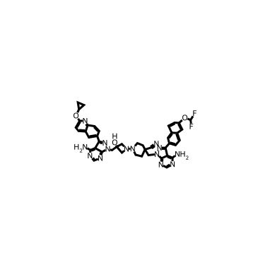 N#CC1(Cn2nc(-c3ccc4cc(OC(F)F)ccc4c3)c3c(N)ncnc32)CCN(N2CC(O)(Cn3nc(-c4ccc5nc(OC6CC6)ccc5c4)c4c(N)ncnc43)C2)CC1